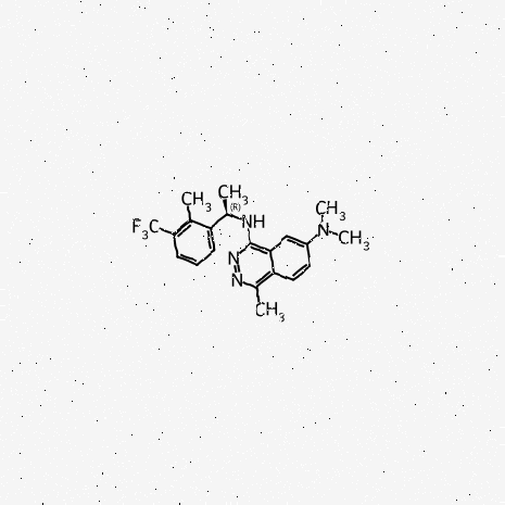 Cc1c([C@@H](C)Nc2nnc(C)c3ccc(N(C)C)cc23)cccc1C(F)(F)F